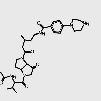 CC(=O)NC(C(=O)N1CC(=O)C2C1CCN2C(=O)CC(C)CCNC(=O)c1ccc(N2CCNCC2)cc1)C(C)C